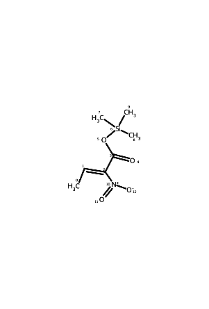 CC=C(C(=O)O[Si](C)(C)C)[N+](=O)[O-]